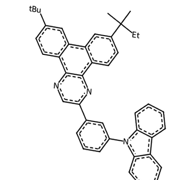 CCC(C)(C)c1ccc2c(c1)c1cc(C(C)(C)C)ccc1c1ncc(-c3cccc(-n4c5ccccc5c5ccccc54)c3)nc21